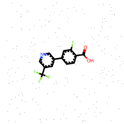 O=C(O)c1ccc(-c2cncc(C(F)(F)F)c2)cc1F